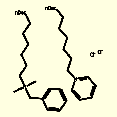 CCCCCCCCCCCCCCCC[N+](C)(C)Cc1ccccc1.CCCCCCCCCCCCCCCC[n+]1ccccc1.[Cl-].[Cl-]